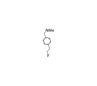 CNCc1ccc(CCF)cc1